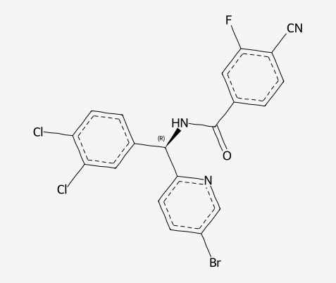 N#Cc1ccc(C(=O)N[C@H](c2ccc(Cl)c(Cl)c2)c2ccc(Br)cn2)cc1F